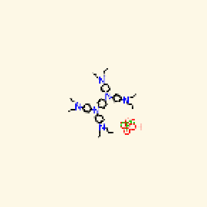 CCCN(CCC)c1ccc(N(c2ccc(N(CCC)CCC)cc2)c2ccc(N(c3ccc(N(CCC)CCC)cc3)c3ccc(N(CCC)CCC)cc3)cc2)cc1.[O-][Cl+3]([O-])([O-])O